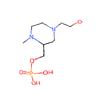 CN1CCN(CC[O])CC1COP(=O)(O)O